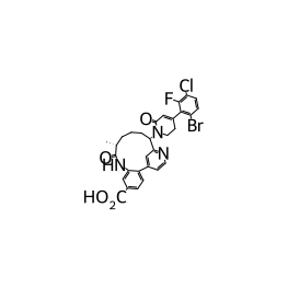 C[C@@H]1CCC[C@H](N2CCC(c3c(Br)ccc(Cl)c3F)=CC2=O)c2cc(ccn2)-c2ccc(C(=O)O)cc2NC1=O